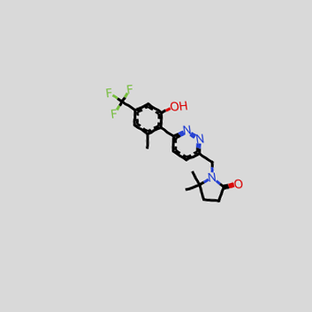 Cc1cc(C(F)(F)F)cc(O)c1-c1ccc(CN2C(=O)CCC2(C)C)nn1